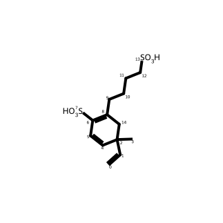 C=CC1(C)C=CC(S(=O)(=O)O)=C(CCCCS(=O)(=O)O)C1